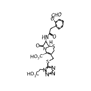 O=COc1ccccc1CC(=O)NC1C(=O)N2C(C(=O)O)=C(CSc3nnnn3CC(=O)O)CS[C@H]12